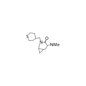 CNC1CC2CC2CN(CC2CCSCC2)C1=O